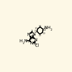 Nc1nc(Cl)nc2c1ncn2[C@H]1CC[C@@H](N)CC1